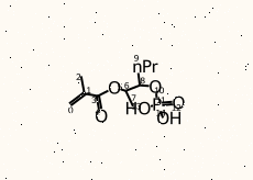 C=C(C)C(=O)OC(C)C(CCC)OP(=O)(O)O